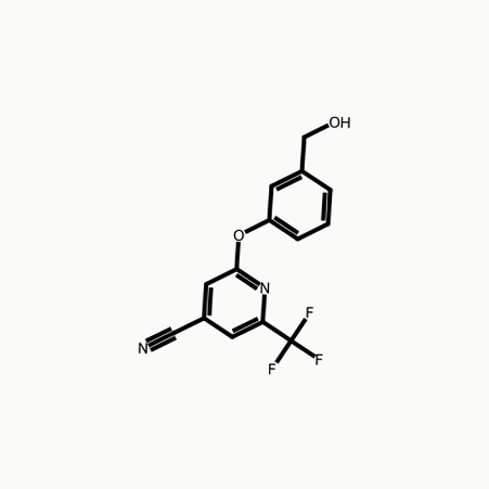 N#Cc1cc(Oc2cccc(CO)c2)nc(C(F)(F)F)c1